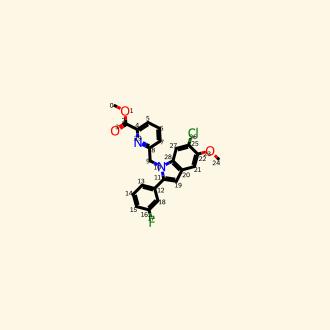 COC(=O)c1cccc(Cn2c(-c3cccc(F)c3)cc3cc(OC)c(Cl)cc32)n1